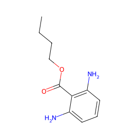 CCCCOC(=O)c1c(N)cccc1N